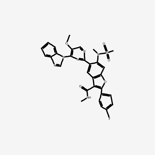 CNC(=O)c1c(-c2ccc(F)cc2)oc2cc(N(C)S(C)(=O)=O)c(-c3ncc(OC)c(-n4cnc5ccccc54)n3)cc12